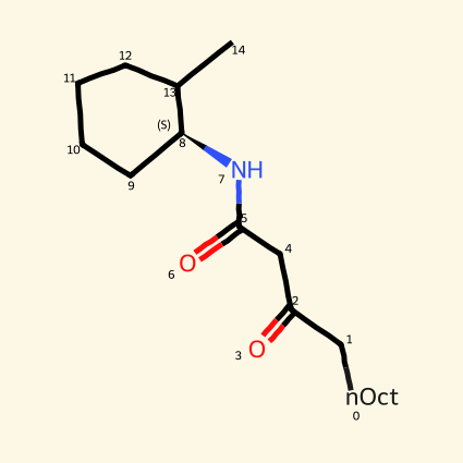 CCCCCCCCCC(=O)CC(=O)N[C@H]1CCCCC1C